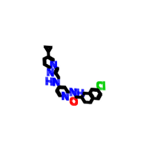 O=C(Nc1cc(NCc2cn3cc(C4CC4)ccc3n2)ccn1)C1CCc2ccc(Cl)cc2C1